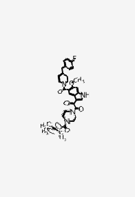 COc1cc2[nH]cc(C(=O)C(=O)N3CCN(C(=O)OC(C)(C)C)CC3)c2cc1C(=O)N1CCC(Cc2ccc(F)cc2)CC1